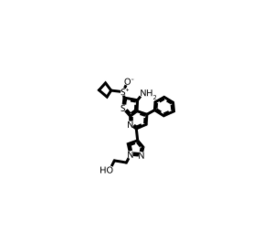 Nc1c([S+]([O-])C2CCC2)sc2nc(-c3cnn(CCO)c3)cc(-c3ccccc3)c12